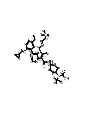 CCc1ccc(OCC2CC2)c(-c2ncnc3c(C(=O)NC4CCC(N(C(=O)O)C(C)(C)C)CC4)c(C)n(COCC[Si](C)(C)C)c23)c1